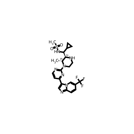 C[C@@H]1[C@@H](C(NS(C)(=O)=O)C2CC2)NCCN1c1nccc(-c2cnc3ccc(C(F)(F)F)cn23)n1